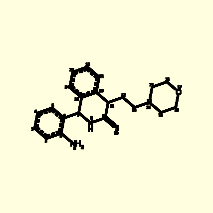 Nc1ccccc1C1NC(=S)C(CCN2CCOCC2)c2ccccc21